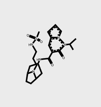 CC(C)n1c(=O)c(C(=O)NC2CC3CCC(C2)N3CCCNS(C)(=O)=O)cc2cccn21